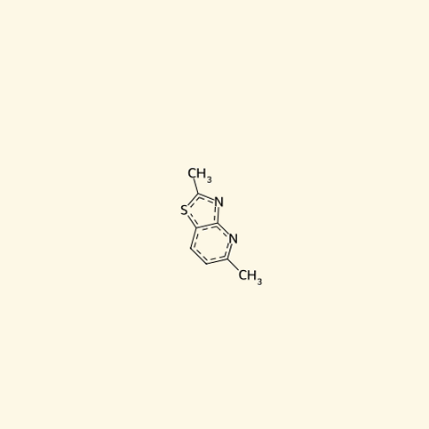 Cc1ccc2sc(C)nc2n1